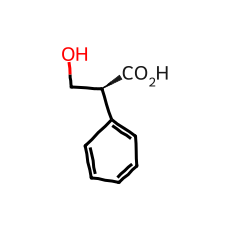 O=C(O)[C@H](CO)c1ccccc1